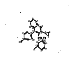 CCOC(=O)c1c(C2CC2)nc2ccccc2c1-c1ccc(F)cc1.Cc1ccccc1